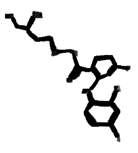 O=C(NOCCC(O)CO)c1ccc(F)cc1Nc1ccc(I)cc1Cl